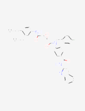 COc1ccc(NC(=O)[C@H]2O[C@@H]2C(=O)N(Cc2ccc(F)cc2)c2ccc(C(=O)Nc3nc4ccccc4s3)cc2)cc1OC